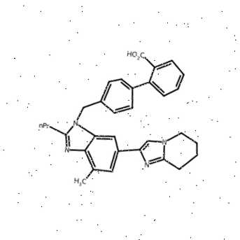 CCCc1nc2c(C)cc(-c3cn4c(n3)CCCC4)cc2n1Cc1ccc(-c2ccccc2C(=O)O)cc1